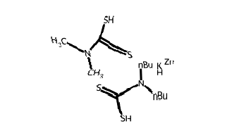 CCCCN(CCCC)C(=S)S.CN(C)C(=S)S.[KH].[Zn]